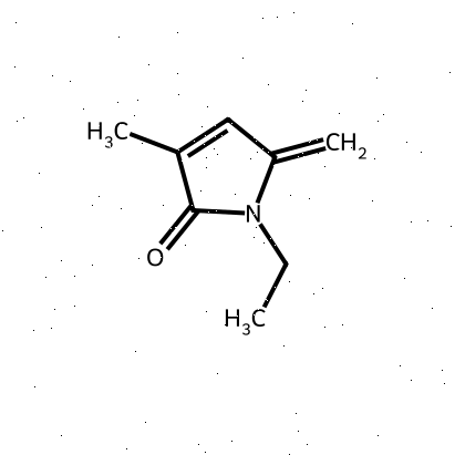 C=C1C=C(C)C(=O)N1CC